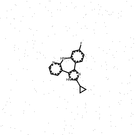 Fc1ccc2c(c1)Nc1ncccc1-c1[nH]c(C3CC3)nc1-2